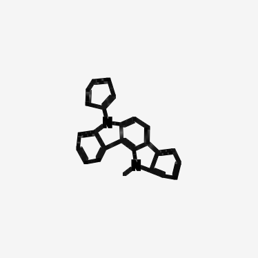 Cn1c2ccccc2c2ccc3c(c4ccccc4n3-c3ccccc3)c21